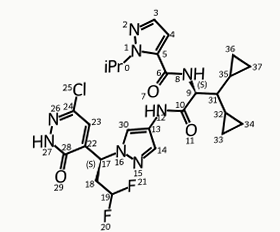 CC(C)n1nccc1C(=O)N[C@H](C(=O)Nc1cnn([C@@H](CC(F)F)c2cc(Cl)n[nH]c2=O)c1)C(C1CC1)C1CC1